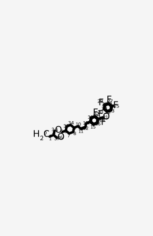 C=CC1COC(C2CCC(C/C=C\Cc3ccc(C(F)(F)Oc4cc(F)c(F)c(F)c4)c(F)c3)CC2)OC1